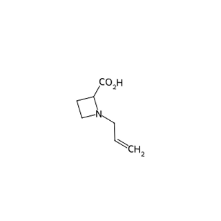 C=CCN1CCC1C(=O)O